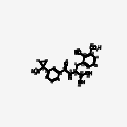 NC1(c2cccc(C(=O)N[C@@H](Cc3cccc(C(=O)O)c3O)B(O)O)c2)CC1